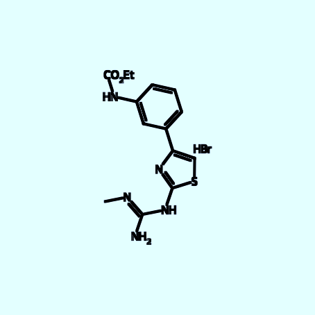 Br.CCOC(=O)Nc1cccc(-c2csc(NC(N)=NC)n2)c1